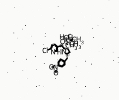 CC(C)(C)[Si](C)(C)O[C@H](c1ccc(Cl)nc1)[C@H]1CC[C@@H](Cc2ccc([N+](=O)[O-])cc2)N1